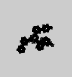 CC1C=CC(c2cccc(-c3nc(-c4cccc(-c5ccccc5)c4)nc(-c4cccc5c4oc4ccc(Br)cc45)n3)c2)=CC1